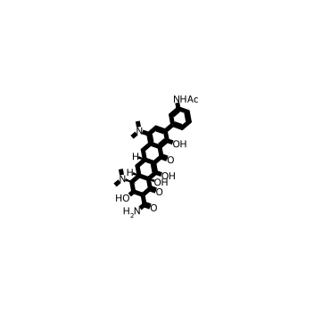 CC(=O)Nc1cccc(-c2cc(N(C)C)c3c(c2O)C(=O)C2=C(O)[C@]4(O)C(=O)C(C(N)=O)C(O)[C@@H](N(C)C)[C@@H]4C[C@@H]2C3)c1